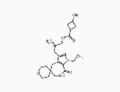 CCn1nc(C[C@@H](C)COC(=O)C2CC(O)C2)c2c1C(=O)NCC1(CCOCC1)C2